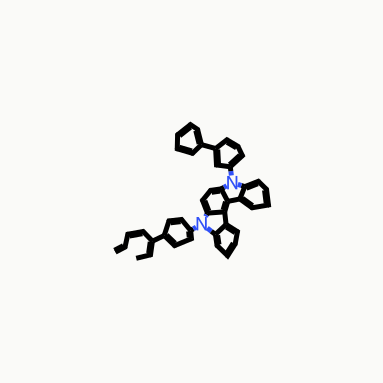 C=C/C=C\C(=C/C)c1ccc(-n2c3ccccc3c3c4c5ccccc5n(-c5cccc(-c6ccccc6)c5)c4ccc32)cc1